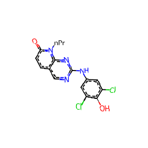 CCCn1c(=O)ccc2cnc(Nc3cc(Cl)c(O)c(Cl)c3)nc21